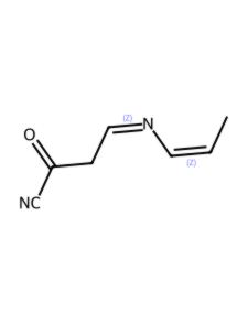 C/C=C\N=C/CC(=O)C#N